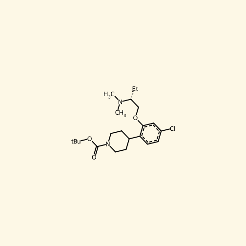 CC[C@H](COc1cc(Cl)ccc1C1CCN(C(=O)OC(C)(C)C)CC1)N(C)C